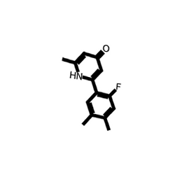 Cc1cc(=O)cc(-c2cc(C)c(C)cc2F)[nH]1